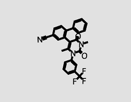 Cc1c(-c2cc(C#N)ccc2-c2ccccc2)c(=O)n(C)c(=O)n1-c1cccc(C(F)(F)F)c1